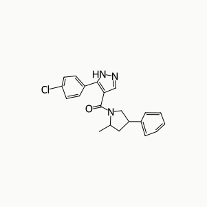 CC1CC(c2ccccc2)CN1C(=O)c1cn[nH]c1-c1ccc(Cl)cc1